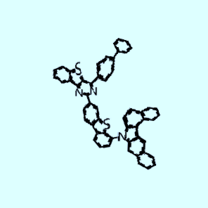 c1ccc(-c2ccc(-c3nc(-c4ccc5c(c4)sc4c(-n6c7cc8ccccc8cc7c7c8ccccc8ccc76)cccc45)nc4c3sc3ccccc34)cc2)cc1